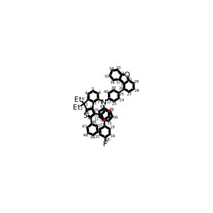 CCC1(CC)c2cccc(N(c3ccc(-c4ccc(F)cc4)cc3)c3ccc(-c4cccc5oc6ccccc6c45)cc3)c2-c2c1sc(-c1ccccc1)c2-c1ccccc1